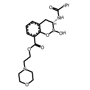 CCCC(=O)N[C@H]1Cc2cccc(C(=O)OCCN3CCOCC3)c2OB1O